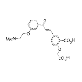 CNCCOc1cccc(C(=O)C=Cc2ccc(OCC(=O)O)c(C(=O)O)c2)c1